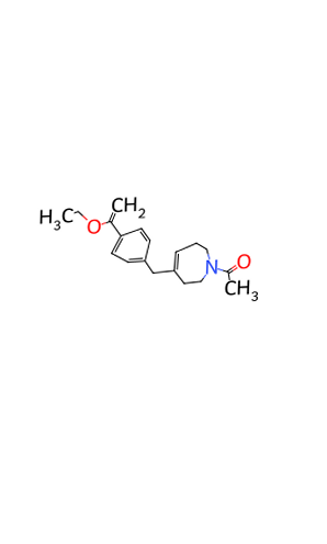 C=C(OCC)c1ccc(CC2=CCCN(C(C)=O)CC2)cc1